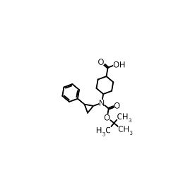 CC(C)(C)OC(=O)N(C1CCC(C(=O)O)CC1)C1CC1c1ccccc1